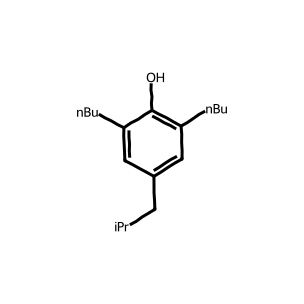 CCCCc1cc(CC(C)C)cc(CCCC)c1O